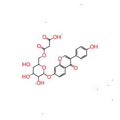 O=C(O)CC(=O)OCC1O[C@@H](Oc2ccc3c(=O)c(-c4ccc(O)cc4)coc3c2)C(O)C(O)[C@@H]1O